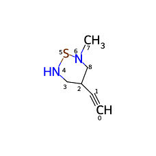 C#CC1CNSN(C)C1